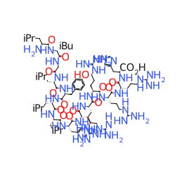 CC[C@H](C)[C@H](NC(=O)[C@@H](N)CC(C)C)C(=O)NCC(=O)N[C@@H](CC(C)C)C(=O)N[C@@H](Cc1ccc(O)cc1)C(=O)N[C@@H](CC(C)C)C(=O)N[C@@H](CC(C)C)C(=O)N[C@@H](Cc1c[nH]cn1)C(=O)N[C@@H](CCCNC(=N)N)C(=O)N[C@@H](CCCNC(=N)N)C(=O)N[C@@H](CCCNC(=N)N)C(=O)N[C@@H](CCCNC(=N)N)C(=O)N[C@@H](CCCNC(=N)N)C(=O)N[C@@H](Cc1c[nH]cn1)C(=O)O